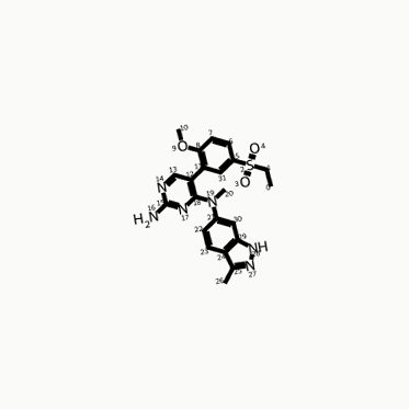 CCS(=O)(=O)c1ccc(OC)c(-c2cnc(N)nc2N(C)c2ccc3c(C)n[nH]c3c2)c1